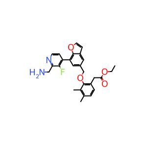 CCOC(=O)Cc1ccc(C)c(C)c1OCc1cc(-c2ccnc(CN)c2F)c2occc2c1